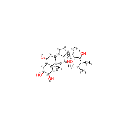 CC(C)[C@H](C)[C@@H](O)[C@H](O)[C@@H](C)[C@H]1CCC2C3CC(=O)C4C[C@H](O)[C@H](O)C[C@]4(C)C3CC[C@@]21C